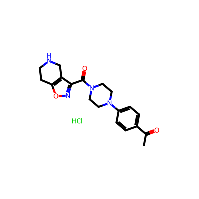 CC(=O)c1ccc(N2CCN(C(=O)c3noc4c3CNCC4)CC2)cc1.Cl